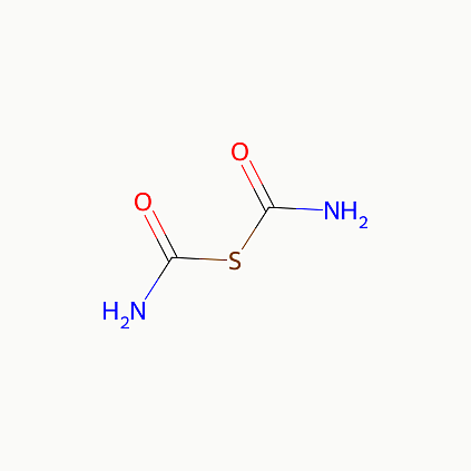 NC(=O)SC(N)=O